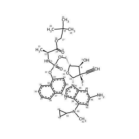 C#C[C@@]1(F)[C@H](O)[C@@H](COP(=O)(N[C@@H](C)C(=O)OCC(C)(C)C)Oc2cccc3ccccc23)O[C@H]1n1cnc2c(N(C)C3CC3)nc(N)nc21